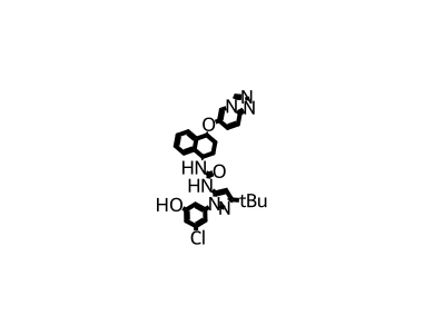 CC(C)(C)c1cc(NC(=O)N[C@H]2CC[C@@H](Oc3ccc4nncn4c3)c3ccccc32)n(-c2cc(O)cc(Cl)c2)n1